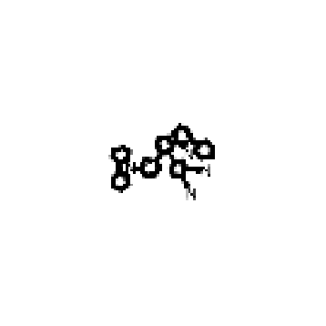 N#Cc1ccc(-c2ccccc2-c2cccc(-n3c4ccccc4c4ccccc43)c2)c(-n2c3ccccc3c3ccccc32)c1C#N